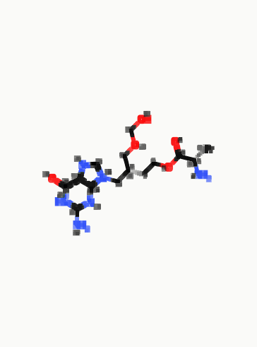 CC(C)[C@H](N)C(=O)OCC[C@@H](COCO)Cn1cnc2c(=O)[nH]c(N)nc21